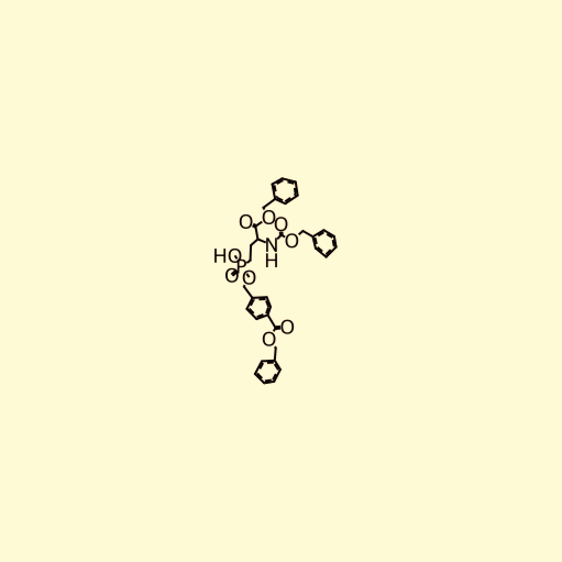 O=C(NC(CCP(=O)(O)OCc1ccc(C(=O)OCc2ccccc2)cc1)C(=O)OCc1ccccc1)OCc1ccccc1